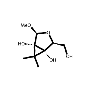 CO[C@H]1O[C@@H](CO)[C@@]2(O)C(C)(C)[C@@]12O